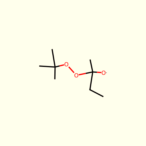 CCC(C)([O])OOC(C)(C)C